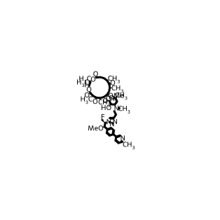 CO[C@H](c1ccc(-c2ccc(C)nc2)cc1)[C@@H](CF)n1cc(CCN(C)[C@H]2C[C@@H](C)O[C@@H](O[C@@H]3[C@@H](C)C(=O)[C@@H](C)C(=O)O[C@H](I)C(C)(C)OC(=O)CC[C@@H](C)C(=O)[C@H](C)C[C@@]3(C)OC)[C@@H]2O)nn1